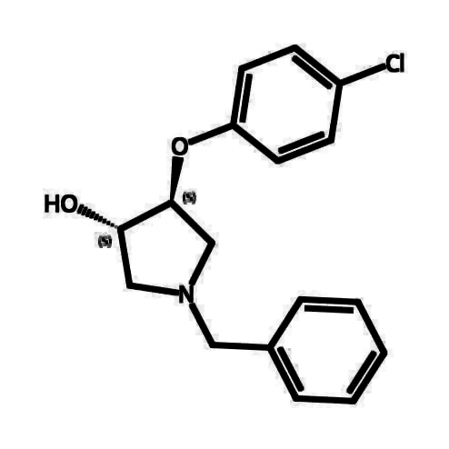 O[C@H]1CN(Cc2ccccc2)C[C@@H]1Oc1ccc(Cl)cc1